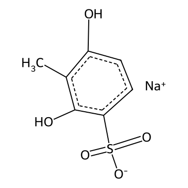 Cc1c(O)ccc(S(=O)(=O)[O-])c1O.[Na+]